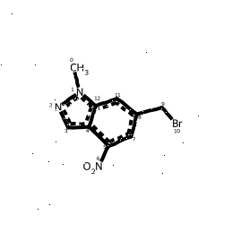 Cn1ncc2c([N+](=O)[O-])cc(CBr)cc21